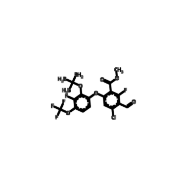 BC(B)(B)Oc1c(Oc2cc(Cl)c(C=O)c(F)c2C(=O)OC)ccc(OC(F)(F)F)c1F